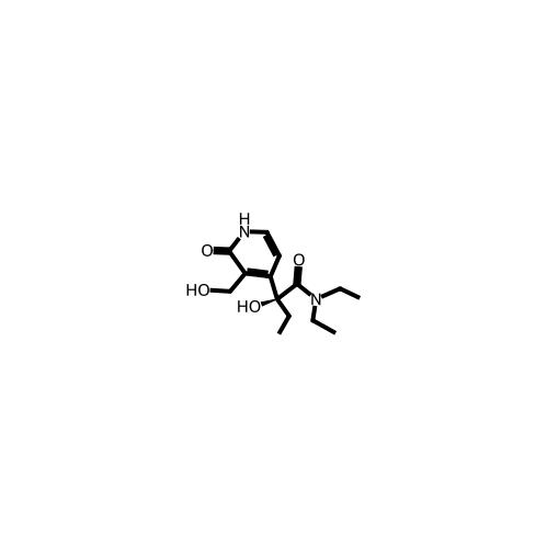 CCN(CC)C(=O)[C@](O)(CC)c1cc[nH]c(=O)c1CO